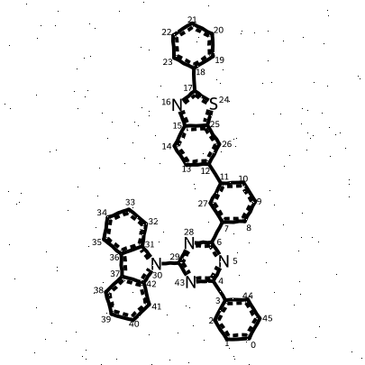 c1ccc(-c2nc(-c3cccc(-c4ccc5nc(-c6ccccc6)sc5c4)c3)nc(-n3c4ccccc4c4ccccc43)n2)cc1